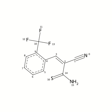 N#CC(=Cc1ccccc1C(F)(F)F)C(N)=S